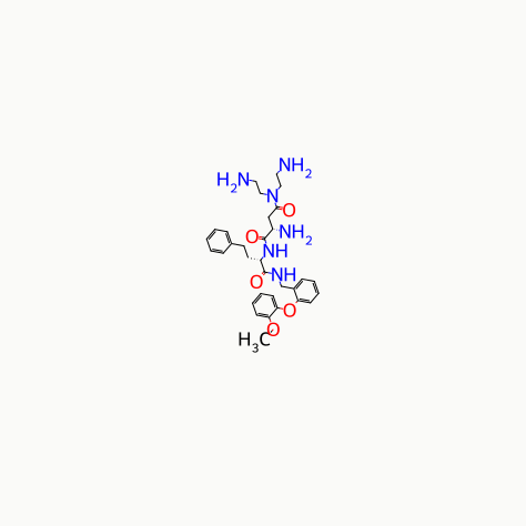 COc1ccccc1Oc1ccccc1CNC(=O)[C@H](CCc1ccccc1)NC(=O)[C@@H](N)CC(=O)N(CCN)CCN